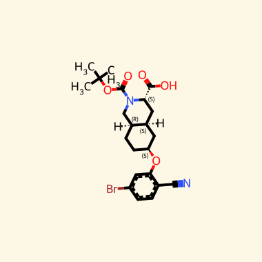 CC(C)(C)OC(=O)N1C[C@@H]2CC[C@H](Oc3cc(Br)ccc3C#N)C[C@@H]2C[C@H]1C(=O)O